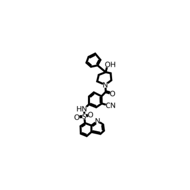 N#Cc1cc(NS(=O)(=O)c2cccc3cccnc23)ccc1C(=O)N1CCC(O)(c2ccccc2)CC1